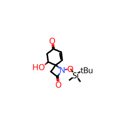 CC(C)(C)[Si](C)(C)ON1C(=O)CC12C=CC(=O)CC2O